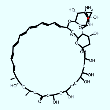 C[C@H]1C[C@H](O)[C@@H](C)/C=C/C=C/C=C/C=C/C=C/C=C/C=C/C(O[C@@H]2OC[C@@H](O)[C@H](N)[C@H]2O)C[C@@H]2OC(O)(CC(O)CC(O)C(O)CCC(O)CC(O)CC(=O)O1)C[C@H](O)[C@H]2C(=O)NC1CC1